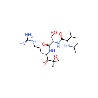 CC(C)N[C@H](C(=O)N[C@@H](CO)C(=O)N[C@@H](CCCNC(=N)N)C(=O)[C@@]1(C)CO1)C(C)C